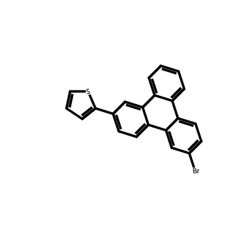 Brc1ccc2c3ccccc3c3cc(-c4cccs4)ccc3c2c1